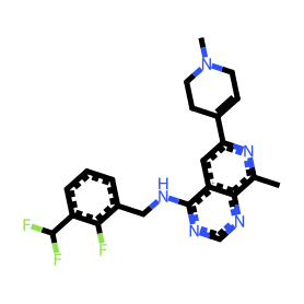 Cc1nc(C2=CCN(C)CC2)cc2c(NCc3cccc(C(F)F)c3F)ncnc12